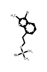 Cc1sc2c(CCO[Si](C)(C)C(C)(C)C)cccc2c1Br